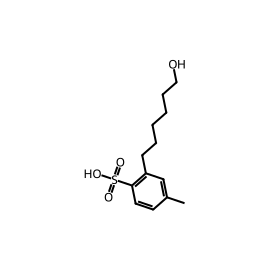 Cc1ccc(S(=O)(=O)O)c(CCCCCCO)c1